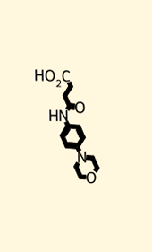 O=C(O)CCC(=O)Nc1ccc(N2CCOCC2)cc1